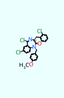 COc1ccc(CN2C(=O)[C@H](Cc3ccccc3Cl)N=C(Cl)c3cc(Cl)ccc32)cc1